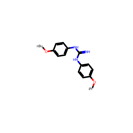 CCCCOc1ccc(NC(=N)Nc2ccc(OC(C)C)cc2)cc1